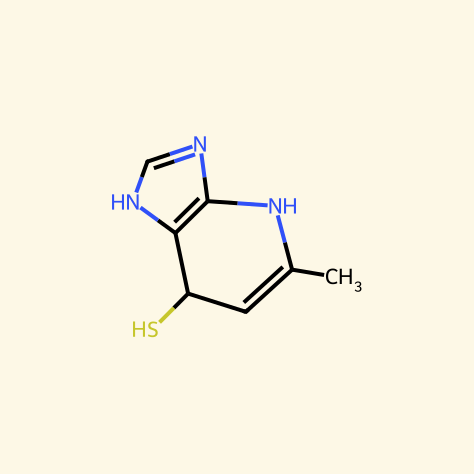 CC1=CC(S)c2[nH]cnc2N1